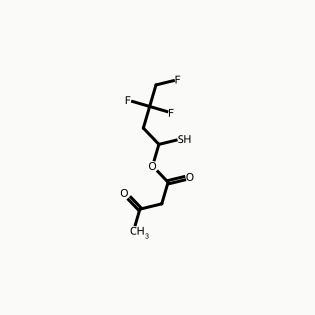 CC(=O)CC(=O)OC(S)CC(F)(F)CF